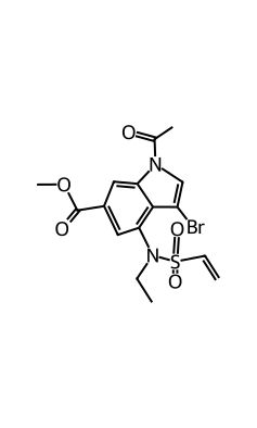 C=CS(=O)(=O)N(CC)c1cc(C(=O)OC)cc2c1c(Br)cn2C(C)=O